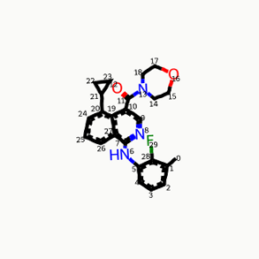 Cc1cccc(Nc2ncc(C(=O)N3CCOCC3)c3c(C4CC4)cccc23)c1F